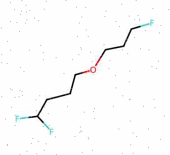 FCCCOCCCC(F)F